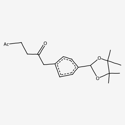 CC(=O)CCC(=O)Cc1ccc(C2OC(C)(C)C(C)(C)O2)cc1